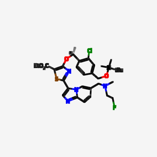 CCOC(=O)c1sc(-c2cnc3ccc(CN(C)CCF)cn23)nc1O[C@H](C)c1ccc(CO[Si](C)(C)C(C)(C)C)cc1Cl